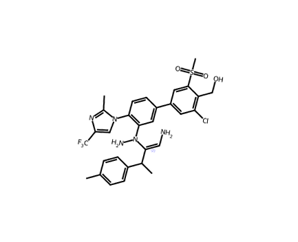 Cc1ccc(C(C)/C(=C/N)N(N)c2cc(-c3cc(Cl)c(CO)c(S(C)(=O)=O)c3)ccc2-n2cc(C(F)(F)F)nc2C)cc1